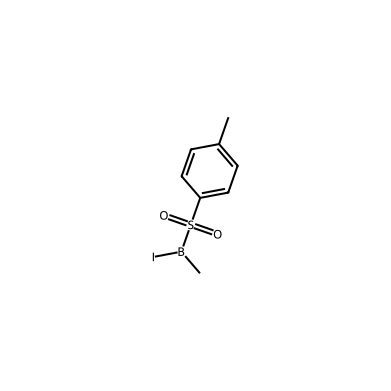 CB(I)S(=O)(=O)c1ccc(C)cc1